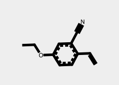 C=Cc1ccc(OCC)cc1C#N